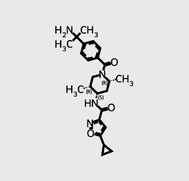 C[C@@H]1CN(C(=O)c2ccc(C(C)(C)N)cc2)[C@H](C)C[C@@H]1NC(=O)c1cc(C2CC2)on1